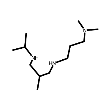 CC(CNCCCN(C)C)CNC(C)C